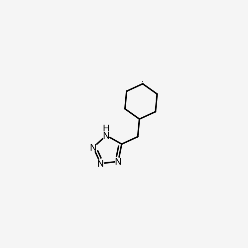 [CH]1CCC(Cc2nnn[nH]2)CC1